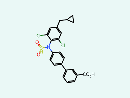 O=C(O)c1cccc(-c2ccc(N(c3c(Cl)cc(CC4CC4)cc3Cl)[SH](=O)=O)cc2)c1